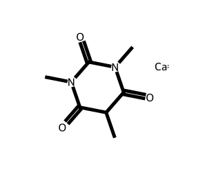 CC1C(=O)N(C)C(=O)N(C)C1=O.[Ca]